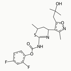 Cc1noc(CC(C)(C)O)c1C1CC(C)SC(NC(=O)Oc2ccc(F)cc2F)=N1